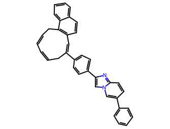 C1=C\C/C(c2ccc(-c3cn4cc(-c5ccccc5)ccc4n3)cc2)=C\c2ccc3ccccc3c2C\C=C/1